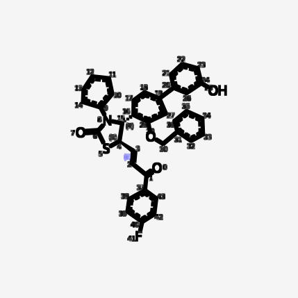 O=C(/C=C/[C@H]1SC(=O)N(c2ccccc2)[C@@H]1c1ccc(-c2cccc(O)c2)cc1OCc1ccccc1)c1ccc(F)cc1